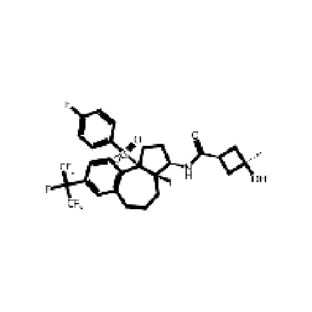 C[C@]1(O)C[C@@H](C(=O)N[C@@H]2CC[C@@]3(S(=O)(=O)c4ccc(F)cc4)c4ccc(C(F)(C(F)(F)F)C(F)(F)F)cc4CCC[C@@H]23)C1